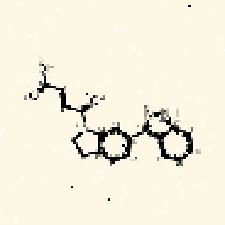 O=C(O)/C=C/C(=O)N1CCc2ccc(-c3n[nH]c4ccccc34)cc21